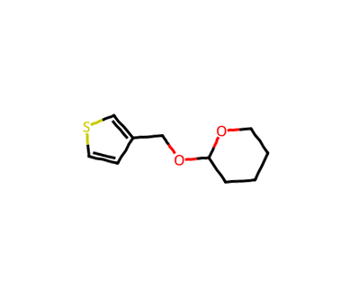 c1cc(COC2CCCCO2)cs1